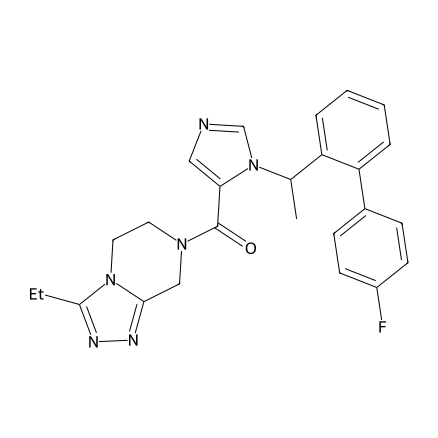 CCc1nnc2n1CCN(C(=O)c1cncn1C(C)c1ccccc1-c1ccc(F)cc1)C2